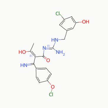 C/C(O)=C(/C(=N)c1ccc(OCl)cc1)C(=O)/N=C(\N)NCc1cc(O)cc(Cl)c1